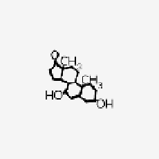 CC12CCC3C(C(O)C=C4CC(O)CCC43C)C1CCC2=O